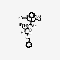 [CH2]C(=O)[C@@H](NC(=O)[C@H](CC(C)C)NC(=O)OCc1ccccc1)C(CC(CC)CCCC)(CC(CC)CCCC)c1ccccc1